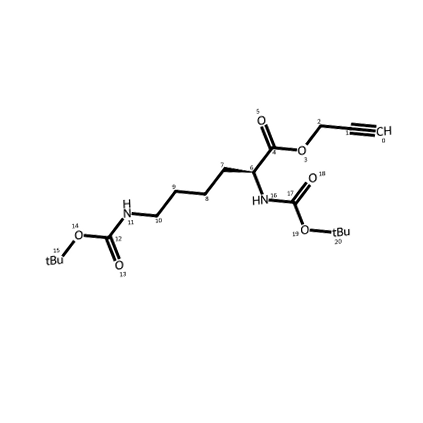 C#CCOC(=O)[C@H](CCCCNC(=O)OC(C)(C)C)NC(=O)OC(C)(C)C